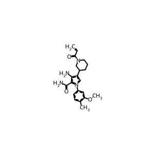 C=CC(=O)N1CCCC(c2cn(-c3ccc(C)c(OC)c3)c(C(N)=O)c2N)C1